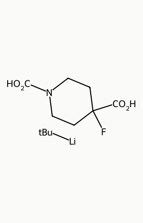 O=C(O)N1CCC(F)(C(=O)O)CC1.[Li][C](C)(C)C